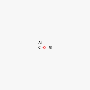 [Al].[C].[O].[Si]